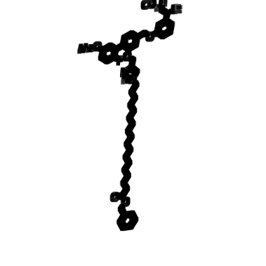 CC[C@H](CC(=O)O)c1cccc(OCc2ccc(-c3cc(OC)ccc3F)c(OCc3cn(CCCCCCCCCCCCCCCCCC(=O)OCc4ccccc4)nn3)c2)c1